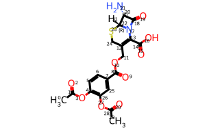 CC(=O)Oc1ccc(C(=O)OCC2=C(C(=O)O)N3C(=O)[C@@H](N)[C@H]3SC2)cc1OC(C)=O